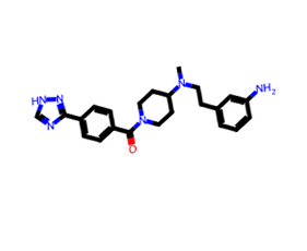 CN(CCc1cccc(N)c1)C1CCN(C(=O)c2ccc(-c3nc[nH]n3)cc2)CC1